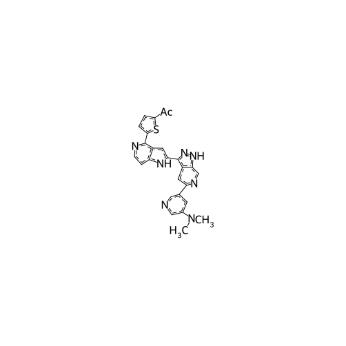 CC(=O)c1ccc(-c2nccc3[nH]c(-c4n[nH]c5cnc(-c6cncc(N(C)C)c6)cc45)cc23)s1